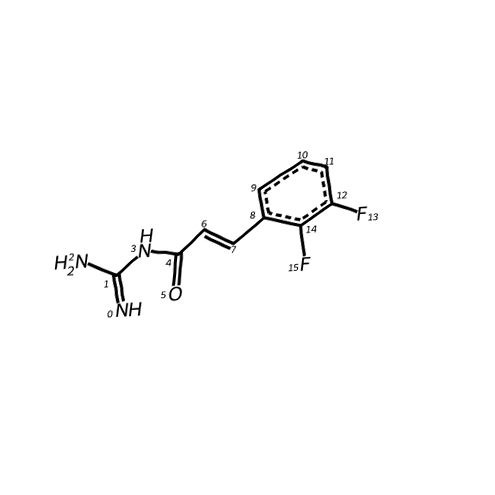 N=C(N)NC(=O)/C=C/c1cccc(F)c1F